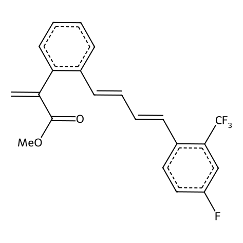 C=C(C(=O)OC)c1ccccc1C=CC=Cc1ccc(F)cc1C(F)(F)F